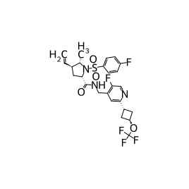 C=C[C@@H]1C[C@@H](C(=O)NCc2cc([C@H]3C[C@H](OC(F)(F)F)C3)ncc2F)N(S(=O)(=O)c2ccc(F)cc2)[C@H]1C